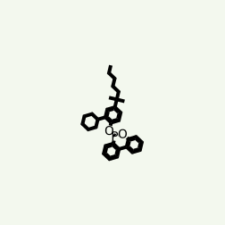 CCCCCC(C)(C)c1ccc(OP2Oc3ccccc3-c3ccccc32)c(C2CCCCC2)c1